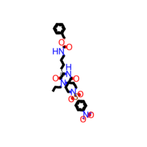 CCCN1C(=O)[C@H](CCCCNC(=O)OCc2ccccc2)NC(=O)C12CCN(S(=O)(=O)c1ccc([N+](=O)[O-])cc1)CC2